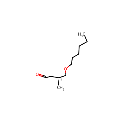 CCCCCCOC[C@@H](C)CC=O